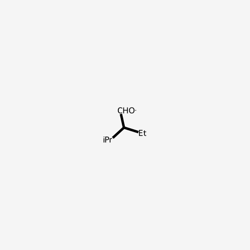 CCC([C]=O)C(C)C